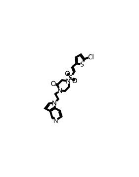 O=C1CN(S(=O)(=O)C=Cc2ccc(Cl)s2)CCN1CCn1ccc2cnccc21